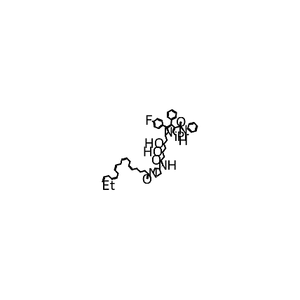 CC/C=C\C/C=C\C/C=C\C/C=C\C/C=C\CCCC(=O)N1CC[C@@H](NC(=O)C[C@H](O)C[C@H](O)CCn2c(-c3ccc(F)cc3)c(-c3ccccc3)c(C(=O)Nc3ccccc3)c2C(C)C)C1